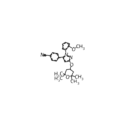 COc1ccccc1-n1nc(OC2CC(C)(C)OC(C)(C)C2)cc1-c1ccc(C#N)cc1